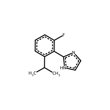 CC(C)c1cccc(F)c1-c1ncc[nH]1